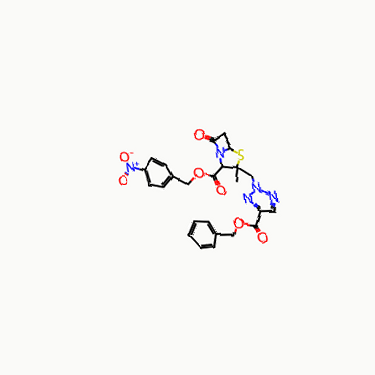 CC1(Cn2ncc(C(=O)OCc3ccccc3)n2)SC2CC(=O)N2C1C(=O)OCc1ccc([N+](=O)[O-])cc1